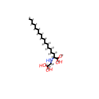 CCCCCCCCCCCCCCCCC(NCC(O)O)C(=O)O